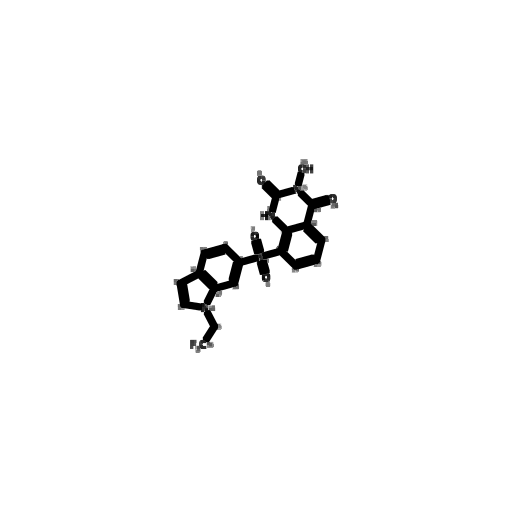 O=c1[nH]c2c(S(=O)(=O)c3ccc4ccn(CC(F)(F)F)c4c3)cccc2c(=O)n1O